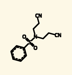 N#CCCN(CCC#N)S(=O)(=O)c1ccccc1